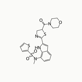 CN(c1cccc2cc(C3=NCC(C(=O)N4CCOCC4)S3)[nH]c12)S(=O)(=O)c1cccs1